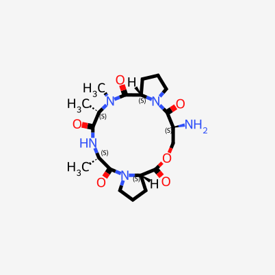 C[C@@H]1NC(=O)[C@H](C)N(C)C(=O)[C@@H]2CCCN2C(=O)[C@@H](N)COC(=O)[C@@H]2CCCN2C1=O